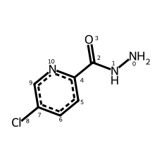 NNC(=O)c1ccc(Cl)cn1